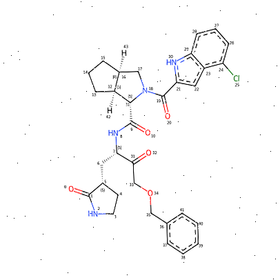 O=C1NCC[C@H]1C[C@H](NC(=O)[C@@H]1[C@H]2CCC[C@H]2CN1C(=O)c1cc2c(Cl)cccc2[nH]1)C(=O)COCc1ccccc1